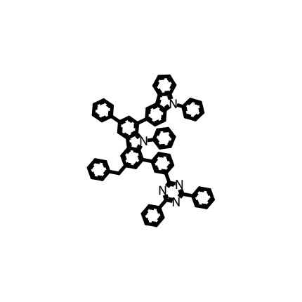 c1ccc(Cc2cc(-c3cccc(-c4nc(-c5ccccc5)nc(-c5ccccc5)n4)c3)c3c(c2)c2cc(-c4ccccc4)cc(-c4ccc5c(c4)c4ccccc4n5-c4ccccc4)c2n3-c2ccccc2)cc1